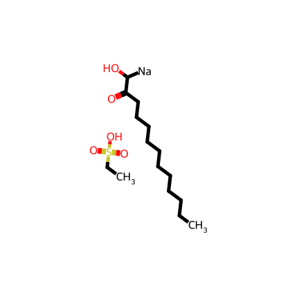 CCCCCCCCCCCC(=O)[CH](O)[Na].CCS(=O)(=O)O